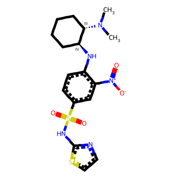 CN(C)[C@H]1CCCC[C@@H]1Nc1ccc(S(=O)(=O)Nc2nccs2)cc1[N+](=O)[O-]